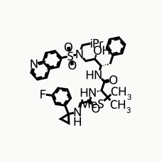 CSC(C)(C)[C@H](NC(=O)CNC1(c2cccc(F)c2)CC1)C(=O)N[C@@H](Cc1ccccc1)[C@H](O)CN(CC(C)C)S(=O)(=O)c1ccc2ncccc2c1